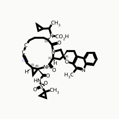 Cc1nc2ccccc2c2c1O[C@]1(CC2)C[C@H]2C(=O)N[C@]3(C(=O)NS(=O)(=O)C4(C)CC4)C[C@H]3/C=C\CCCCC[C@H](N(C(=O)O)C(C)C3CC3)C(=O)N2C1